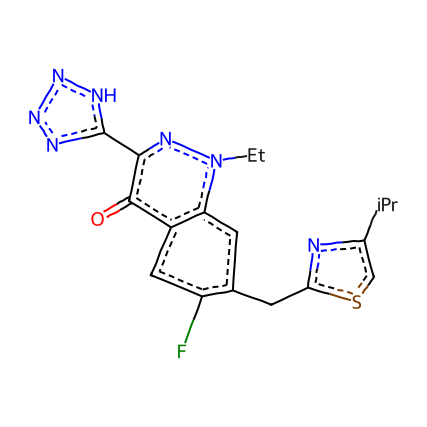 CCn1nc(-c2nnn[nH]2)c(=O)c2cc(F)c(Cc3nc(C(C)C)cs3)cc21